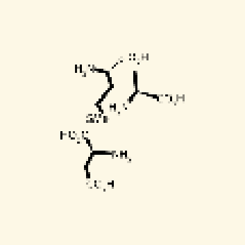 CSCC[C@H](N)C(=O)O.C[C@H](N)C(=O)O.N[C@@H](CC(=O)O)C(=O)O